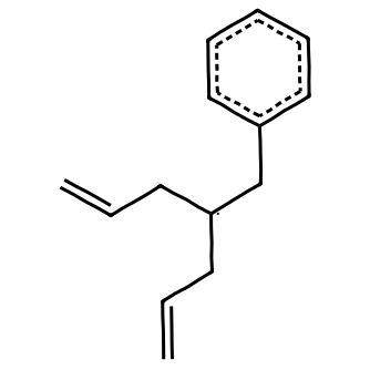 C=CC[C](CC=C)Cc1ccccc1